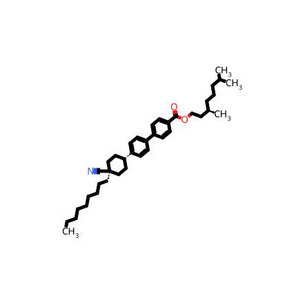 CCCCCCCCC[C@]1(C#N)CC[C@H](c2ccc(-c3ccc(C(=O)OCC[C@H](C)CCCC(C)C)cc3)cc2)CC1